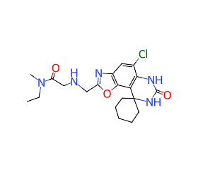 CCN(C)C(=O)CNCc1nc2cc(Cl)c3c(c2o1)C1(CCCCC1)NC(=O)N3